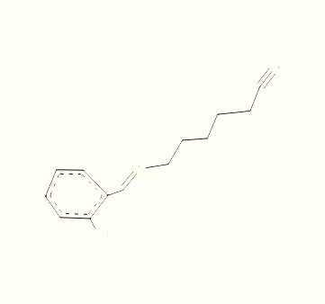 Cc1ccccc1/C=N/CCCCCC#N